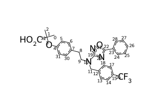 CC(C)(Oc1ccc(CCN(Cc2ccc(C(F)(F)F)cc2)c2noc(-c3ccccc3)n2)cc1)C(=O)O